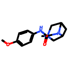 COc1ccc(NC(=O)N2C3CC2CN(C)C3)cc1